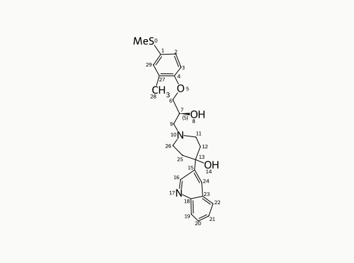 CSc1ccc(OC[C@@H](O)CN2CCC(O)(c3cnc4ccccc4c3)CC2)c(C)c1